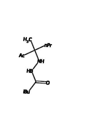 CCCC(C)(NBC(=O)C(C)CC)C(C)=O